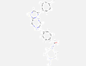 Cc1ccc(-c2cnc3cnc(-c4ccc(C(=O)N5CCN(C)CC5)cc4)cn23)cc1